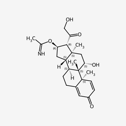 CC(=N)O[C@@H]1C[C@H]2[C@@H]3CCC4=CC(=O)C=C[C@]4(C)[C@@]3(C)[C@@H](O)C[C@]2(C)[C@H]1C(=O)CO